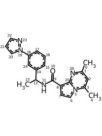 Cc1cc(C)n2ccc(C(=O)NC(C)c3cccc(-n4cccn4)c3)c2n1